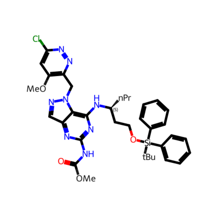 CCC[C@@H](CCO[Si](c1ccccc1)(c1ccccc1)C(C)(C)C)Nc1nc(NC(=O)OC)nc2cnn(Cc3nnc(Cl)cc3OC)c12